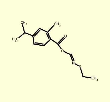 CCSN=COC(=O)c1ccc(C(C)C)cc1C